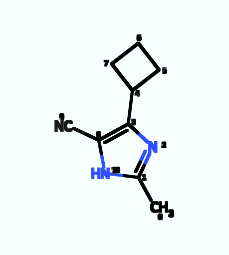 Cc1nc(C2CCC2)c(C#N)[nH]1